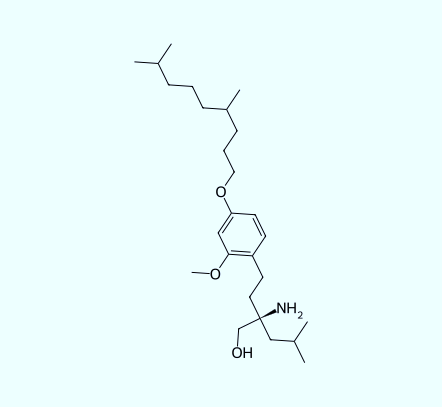 COc1cc(OCCCC(C)CCCC(C)C)ccc1CC[C@@](N)(CO)CC(C)C